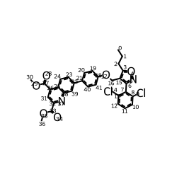 CCCc1onc(-c2c(Cl)cccc2Cl)c1COc1ccc(-c2ccc3c(C(=O)OC)cc(C(=O)OC)nc3c2)cc1